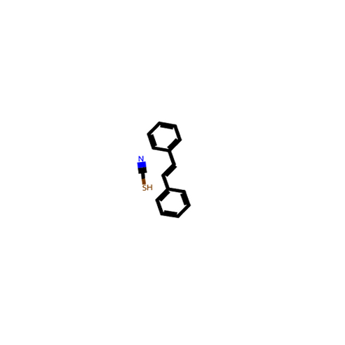 C(=Cc1ccccc1)c1ccccc1.N#CS